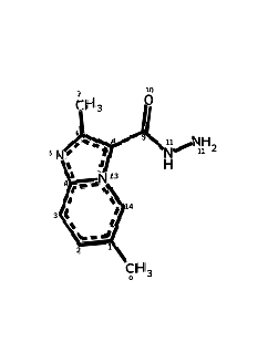 Cc1ccc2nc(C)c(C(=O)NN)n2c1